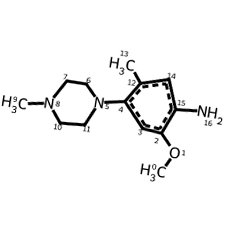 COc1cc(N2CCN(C)CC2)c(C)cc1N